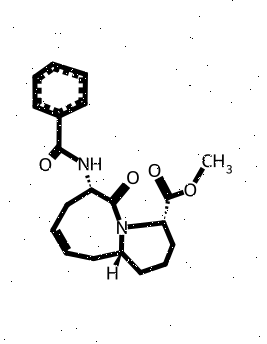 COC(=O)[C@@H]1CCC[C@@H]2C/C=C\C[C@H](NC(=O)c3ccccc3)C(=O)N21